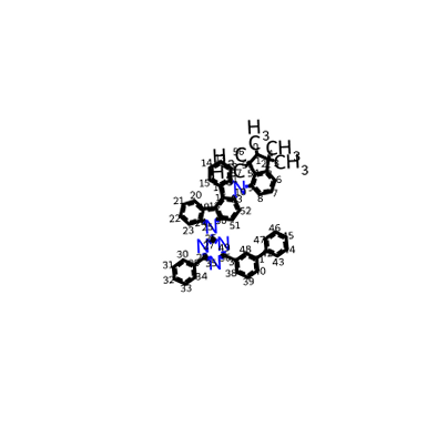 CC1C(C)(C)c2cccc(-n3c4ccccc4c4c5c6ccccc6n(-c6nc(-c7ccccc7)nc(-c7cccc(-c8ccccc8)c7)n6)c5ccc43)c2C1(C)C